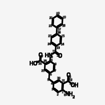 Nc1ccc(Cc2ccc(NC(=O)c3ccc(-c4ccccc4)cc3)c(C(=O)O)c2)cc1C(=O)O